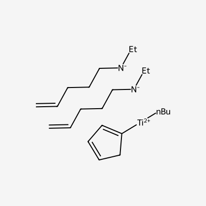 C=CCCC[N-]CC.C=CCCC[N-]CC.CCC[CH2][Ti+2][C]1=CC=CC1